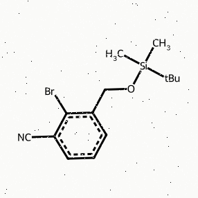 CC(C)(C)[Si](C)(C)OCc1cccc(C#N)c1Br